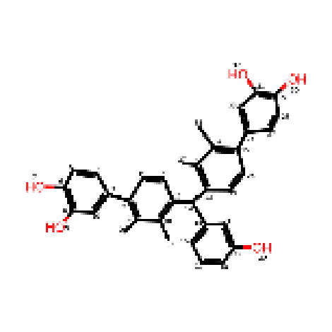 Cc1c(-c2ccc(O)c(O)c2)ccc(C(c2cccc(O)c2)c2ccc(-c3ccc(O)c(O)c3)c(C)c2C)c1C